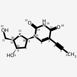 CC#Cc1cn([C@H]2C[C@H](O)[C@@H](CO)S2)c(=O)[nH]c1=O